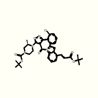 C[C@@H]1CN(C(=O)OC(C)(C)C)CCN1c1onc(-c2c(Cl)cccc2Cl)c1C(=O)n1ccc2c(/C=C/C(=O)OC(C)(C)C)cccc21